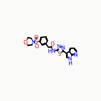 O=C(Cc1cccc(S(=O)(=O)N2CCOCC2)c1)Nc1nnc(-c2c[nH]c3ncccc23)s1